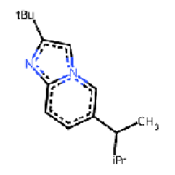 CC(C)C(C)c1ccc2nc(C(C)(C)C)cn2c1